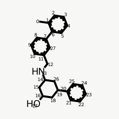 Cc1ccccc1-c1cccc(CNC2CC(O)CC(c3ccccc3)C2)c1